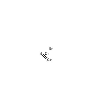 [S]=[Ga].[Sr].[Zn]